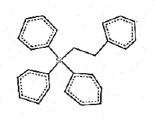 [c]1ccc(CC[Si](c2ccccc2)(c2ccccc2)c2ccccc2)cc1